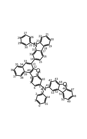 c1ccc(N(c2ccc3c(c2)oc2c(-c4ccc5c6ccccc6n(-c6ccccc6)c5c4)cc4ccccc4c23)c2ccc3oc4ccccc4c3c2)cc1